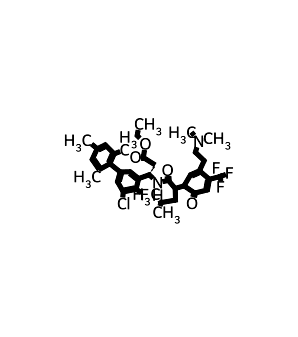 CCOC(=O)C[C@H](NC(=O)C(CC(C)C)C1C=C(CCN(C)C)C(C(F)(F)F)=CC1=O)c1cc(-c2c(C)cc(C)cc2C)cc(Cl)c1F